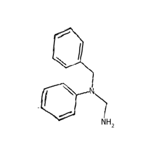 NCN(Cc1ccccc1)c1cc[c]cc1